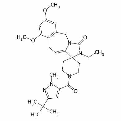 CCN1C(=O)N2Cc3cc(OC)cc(OC)c3CC=C2C12CCN(C(=O)c1cc(C(C)(C)C)nn1C)CC2